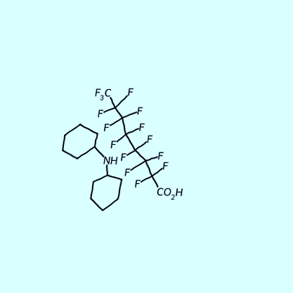 C1CCC(NC2CCCCC2)CC1.O=C(O)C(F)(F)C(F)(F)C(F)(F)C(F)(F)C(F)(F)C(F)(F)C(F)(F)F